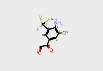 Nc1c(Cl)cc(C(=O)C=O)cc1C(F)(F)F